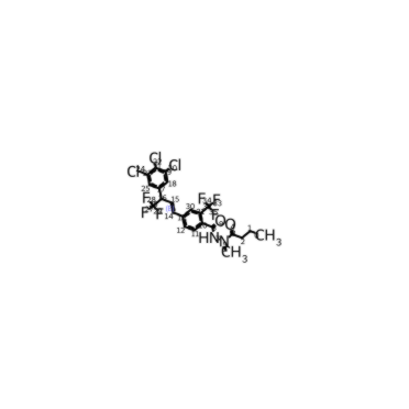 CCCC(=O)N(C)NC(=O)c1ccc(/C=C/C(c2cc(Cl)c(Cl)c(Cl)c2)C(F)(F)F)cc1C(F)(F)F